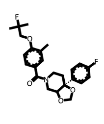 Cc1cc(C(=O)N2CC[C@@]3(c4ccc(F)cc4)OCOC3C2)ccc1OCC(C)(C)F